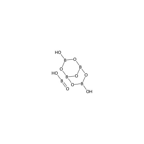 O=BO.OB1OB2OB(O)OB(O1)O2